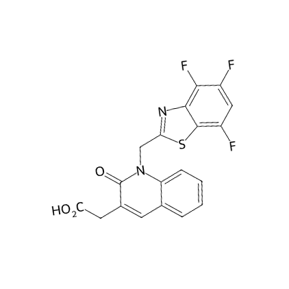 O=C(O)Cc1cc2ccccc2n(Cc2nc3c(F)c(F)cc(F)c3s2)c1=O